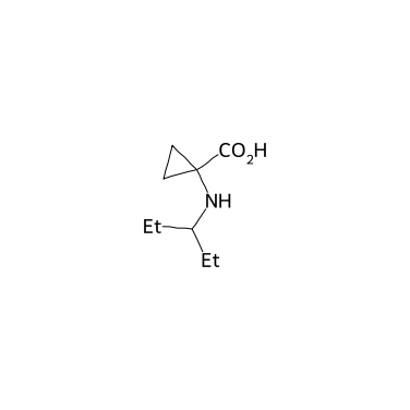 CCC(CC)NC1(C(=O)O)CC1